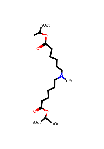 CCCCCCCCC(C)OC(=O)CCCCCN(CCC)CCCCCC(=O)OC(CCCCCCCC)CCCCCCCC